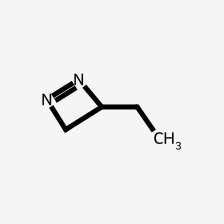 CCC1CN=N1